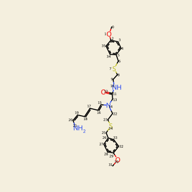 COc1ccc(CSCCNC(=O)CN(/C=C/C=C/C=C\N)CCSCc2ccc(OC)cc2)cc1